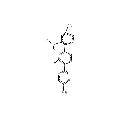 Nc1cnc(-c2ccc(-c3ccc(C(F)(F)F)cc3[S+](N)[O-])cc2F)cn1